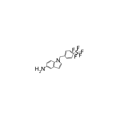 Nc1ccc2c(ccn2Cc2ccc(S(F)(F)(F)(F)F)cc2)c1